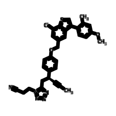 CC#C[C@@H](Cc1nnnn1CCC#N)c1ccc(OCc2cc(Cl)c3scc(-c4ccc(OC)cc4C)c3c2)cc1